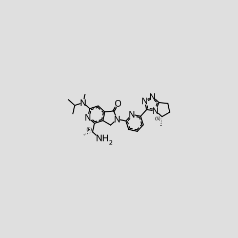 CC(C)N(C)c1cc2c(c([C@@H](C)N)n1)CN(c1cccc(-c3nnc4n3[C@@H](C)CC4)n1)C2=O